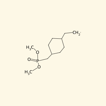 [CH2]CC1CCC(CP(=O)(OC)OC)CC1